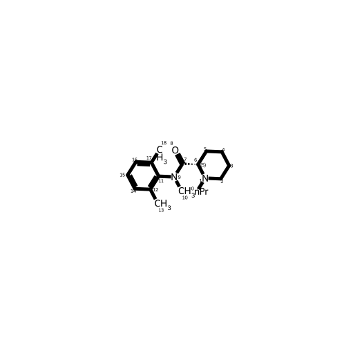 CCCN1CCCC[C@H]1C(=O)N(C)c1c(C)cccc1C